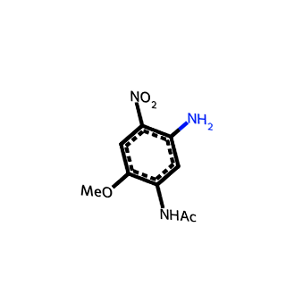 COc1cc([N+](=O)[O-])c(N)cc1NC(C)=O